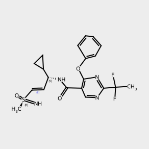 CC(F)(F)c1ncc(C(=O)N[C@H](/C=C/[S@](C)(=N)=O)C2CC2)c(Oc2ccccc2)n1